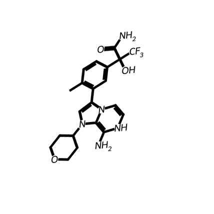 Cc1ccc(C(O)(C(N)=O)C(F)(F)F)cc1C1=CN(C2CCOCC2)C2=C(N)NC=CN12